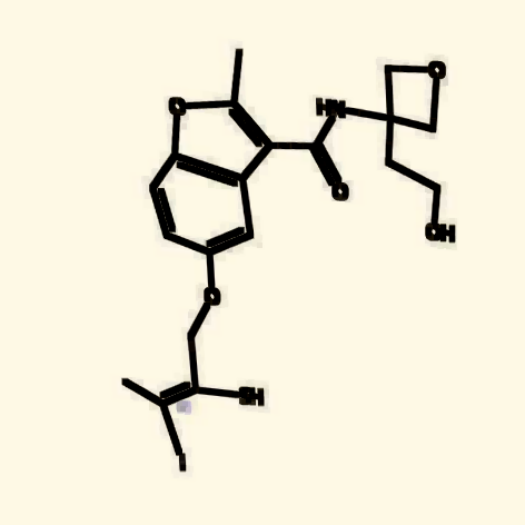 C/C(I)=C(/S)COc1ccc2oc(C)c(C(=O)NC3(CCO)COC3)c2c1